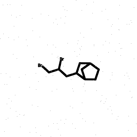 BrCC(Br)CC1CC2CCC1C2